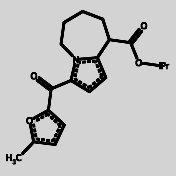 Cc1ccc(C(=O)c2ccc3n2CCCCC3C(=O)OC(C)C)o1